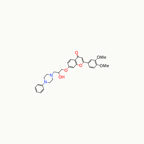 COc1ccc(-c2cc(=O)c3ccc(OCC(O)CN4CCN(c5ccccc5)CC4)cc3o2)cc1OC